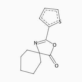 O=C1OC(c2cccs2)=NC12CCCCC2